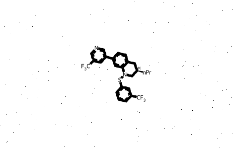 CCC[C@@H]1Cc2ccc(-c3cncc(C(F)(F)F)c3)cc2N(Sc2cccc(C(F)(F)F)c2)C1